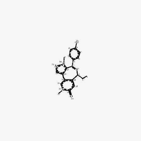 CCC1N=C(c2ccc(Cl)cc2)c2c(cnn2C)-c2cn(C)c(=O)cc21